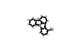 Brc1cccc2c1c1cccc3c4ccccc4n2c31